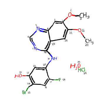 COc1cc2ncnc(Nc3cc(O)c(Br)cc3F)c2cc1OC.Cl.O